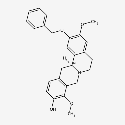 COc1cc2c(cc1OCc1ccccc1)[C@@H]1Cc3ccc(O)c(OC)c3CN1CC2